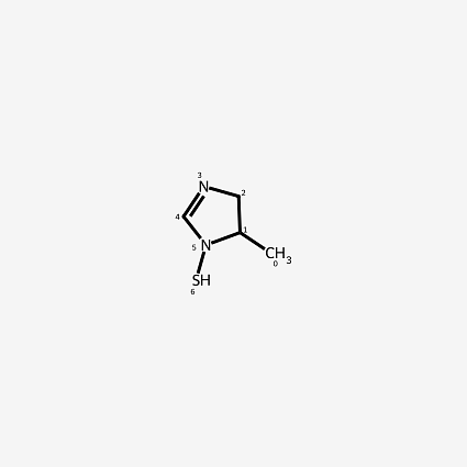 CC1CN=CN1S